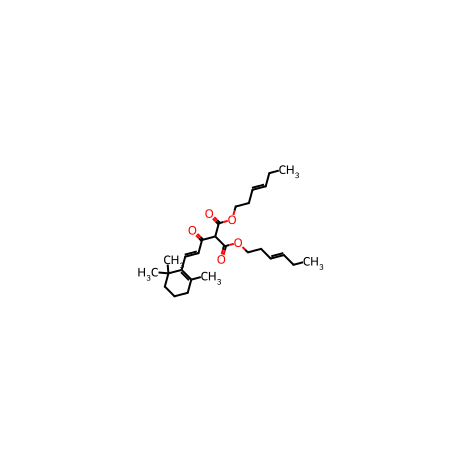 CCC=CCCOC(=O)C(C(=O)C=CC1=C(C)CCCC1(C)C)C(=O)OCCC=CCC